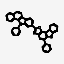 c1ccc(-c2cc3nc(-c4ccc5c6ccc7ccccc7c6n(-c6ccccc6)c5c4)oc3c3c2sc2ccccc23)cc1